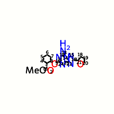 COC(=O)c1ccccc1Oc1nc(N)n2nc(-c3ccco3)nc2n1